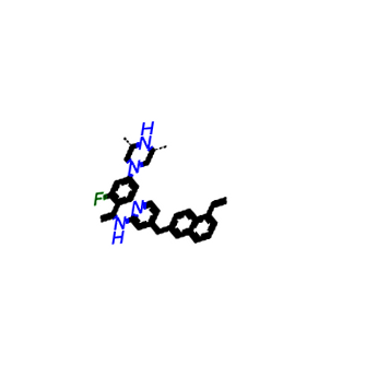 C=Cc1cccc2cc(Cc3ccnc(NC(=C)c4ccc(N5C[C@@H](C)N[C@@H](C)C5)cc4F)c3)ccc12